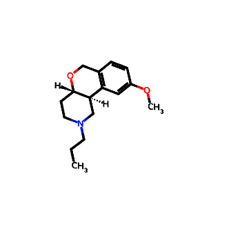 CCCN1CC[C@@H]2OCc3ccc(OC)cc3[C@H]2C1